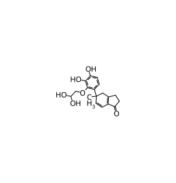 CC1(c2ccc(O)c(O)c2OCC(O)O)C=CC2=C(CCC2=O)C1